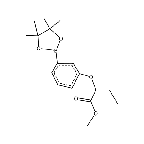 CCC(Oc1cccc(B2OC(C)(C)C(C)(C)O2)c1)C(=O)OC